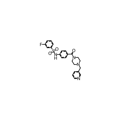 O=C(c1ccc(NS(=O)(=O)c2cccc(F)c2)cc1)N1CCN(Cc2cccnc2)CC1